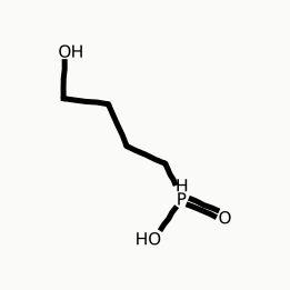 O=[PH](O)CCCCO